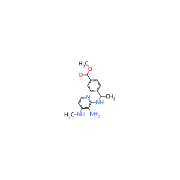 CNc1ccnc(NC(C)c2ccc(C(=O)OC)cc2)c1N